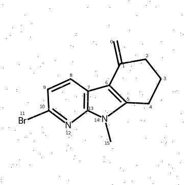 C=C1CCCc2c1c1ccc(Br)nc1n2C